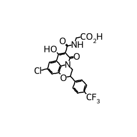 O=C(O)CNC(=O)c1c(O)c2cc(Cl)cc3c2n(c1=O)CC(c1ccc(C(F)(F)F)cc1)O3